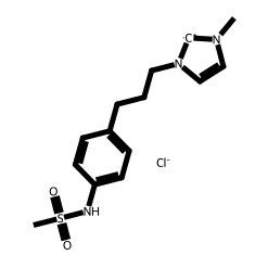 CN1[C+]N(CCCc2ccc(NS(C)(=O)=O)cc2)C=C1.[Cl-]